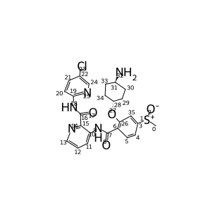 C[S+]([O-])c1ccc(C(=O)Nc2cccnc2C(=O)Nc2ccc(Cl)cn2)c(O[C@H]2CC[C@H](N)CC2)c1